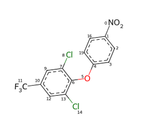 O=[N+]([O-])c1ccc(Oc2c(Cl)cc(C(F)(F)F)cc2Cl)cc1